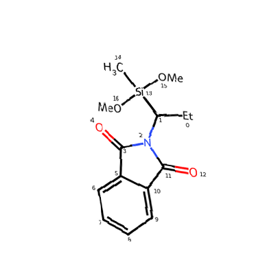 CCC(N1C(=O)c2ccccc2C1=O)[Si](C)(OC)OC